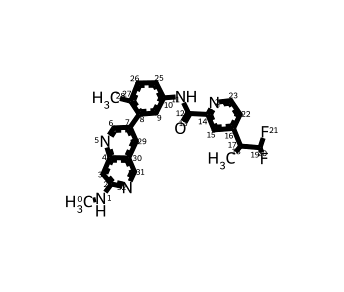 CNc1cc2ncc(-c3cc(NC(=O)c4cc(C(C)C(F)F)ccn4)ccc3C)cc2cn1